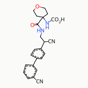 N#Cc1cccc(-c2ccc(C(C#N)CNC(=O)C3(NC(=O)O)CCOCC3)cc2)c1